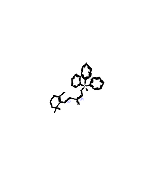 CC1=C(/C=C/C(C)=C\CP(C)(c2ccccc2)(c2ccccc2)c2ccccc2)C(C)(C)CCC1